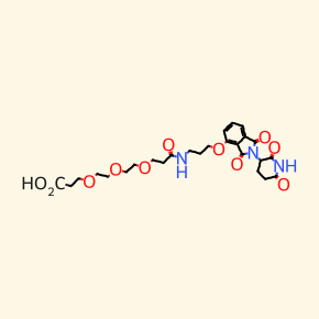 O=C(O)CCOCCOCCOCCC(=O)NCCCOc1cccc2c1C(=O)N(C1CCC(=O)NC1=O)C2=O